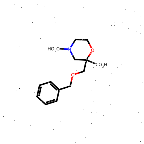 O=C(O)N1CCOC(COCc2ccccc2)(C(=O)O)C1